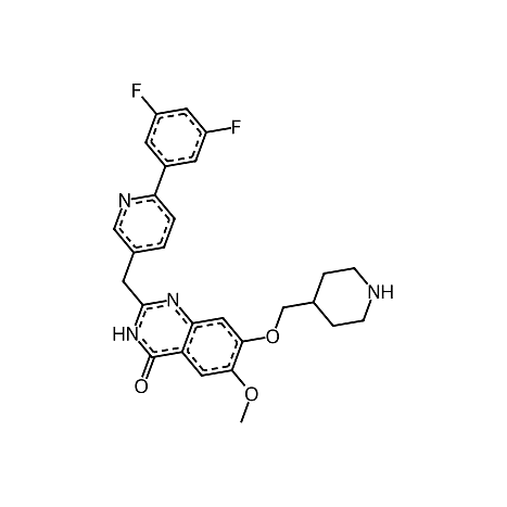 COc1cc2c(=O)[nH]c(Cc3ccc(-c4cc(F)cc(F)c4)nc3)nc2cc1OCC1CCNCC1